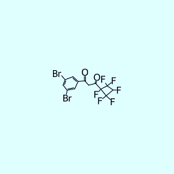 O=C(CC(=O)C1(F)C(F)(F)C(F)C1(F)F)c1cc(Br)cc(Br)c1